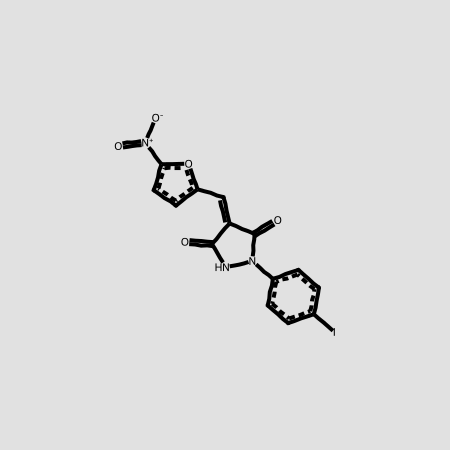 O=C1NN(c2ccc(I)cc2)C(=O)/C1=C/c1ccc([N+](=O)[O-])o1